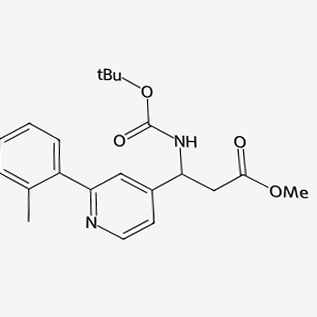 COC(=O)CC(NC(=O)OC(C)(C)C)c1ccnc(-c2ccccc2C)c1